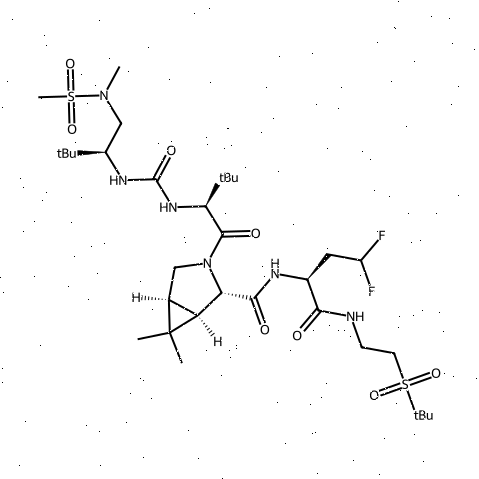 CN(C[C@@H](NC(=O)N[C@H](C(=O)N1C[C@H]2[C@@H]([C@H]1C(=O)N[C@@H](CC(F)F)C(=O)NCCS(=O)(=O)C(C)(C)C)C2(C)C)C(C)(C)C)C(C)(C)C)S(C)(=O)=O